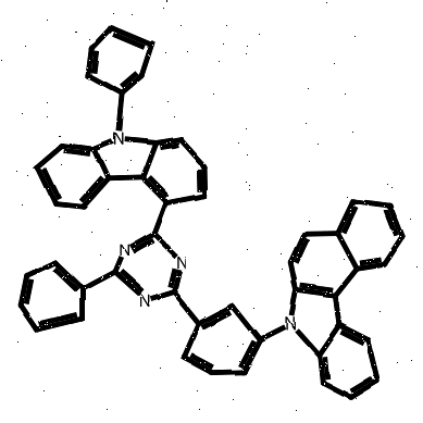 c1ccc(-c2nc(-c3cccc(-n4c5ccccc5c5c6ccccc6ccc54)c3)nc(-c3cccc4c3c3ccccc3n4-c3ccccc3)n2)cc1